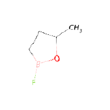 CC1CCB(F)O1